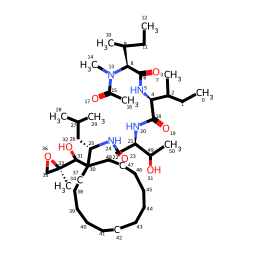 CCC(C)[C@H](NC(=O)[C@H](C(C)CC)N(C)C(C)=O)C(=O)N[C@H](C(=O)N[C@@H](CC(C)C)C1(C(O)[C@@]2(C)CO2)CCCCCCCCCCCC1)C(C)O